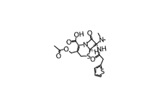 CC(=O)OCC1=C(C(=O)O)N2C(=O)[C@@](NC(=O)Cc3cccs3)(N(C)C)[C@H]2SC1